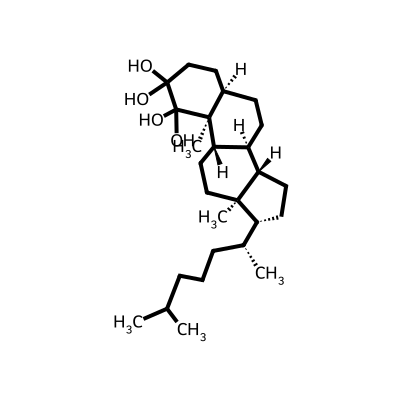 CC(C)CCC[C@@H](C)[C@H]1CC[C@H]2[C@@H]3CC[C@@H]4CCC(O)(O)C(O)(O)[C@]4(C)[C@H]3CC[C@]12C